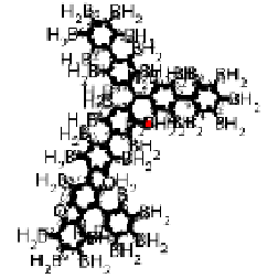 Bc1c(B)c(B)c(-c2c(B)c(B)c(C(c3c(B)c(B)c(-c4c(B)c(B)c(B)c(B)c4B)c(B)c3B)c3c(B)c(B)c(-c4c(B)c(B)c5c(oc6c(-c7c(B)c(B)c(B)c(B)c7B)c7c(oc8c(B)c(B)c(B)c(B)c87)c(B)c65)c4B)c(B)c3B)c(B)c2B)c(B)c1B